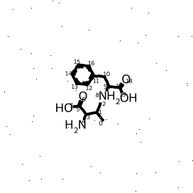 CC(C)C(N)C(=O)O.NC(Cc1ccccc1)C(=O)O